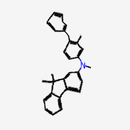 Cc1cc(N(C)c2ccc3c(c2)C(C)(C)c2ccccc2-3)ccc1-c1ccccc1